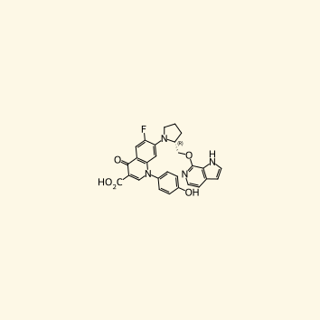 O=C(O)c1cn(-c2ccc(O)cc2)c2cc(N3CCC[C@@H]3COc3nccc4cc[nH]c34)c(F)cc2c1=O